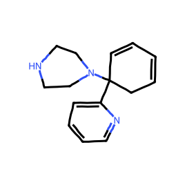 C1=CCC(c2ccccn2)(N2CCNCC2)C=C1